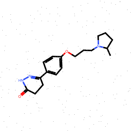 CC1CCCN1CCCOc1ccc(C2=NNC(=O)CC2)cc1